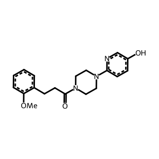 COc1ccccc1CCC(=O)N1CCN(c2ccc(O)cn2)CC1